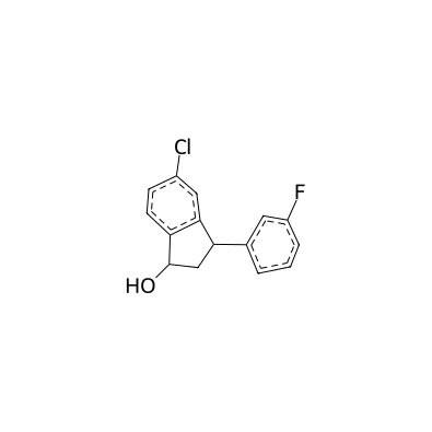 OC1CC(c2cccc(F)c2)c2cc(Cl)ccc21